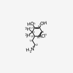 Cl.[2H]C1([2H])C(O)=C(O)C=CC1CCN